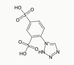 O=S(=O)(O)c1ccc(-[n+]2cnn[nH]2)c(S(=O)(=O)O)c1